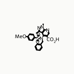 COc1ccc(S(=O)(=O)N(Cc2ccccc2)c2c(C(=O)O)cnc3c2c(C)nn3C)cc1